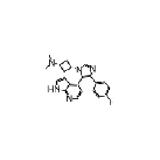 CN(C)[C@H]1C[C@H](n2cnc(-c3ccc(F)cc3)c2-c2ccnc3[nH]ccc23)C1